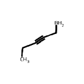 BCC#CCC